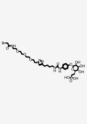 O=C(CBr)NCCOCCOCCOCCn1cc(CCCCNC(=O)Nc2ccc(O[C@H]3O[C@H](CCP(=O)(O)O)[C@@H](O)[C@H](O)[C@@H]3O)cc2)nn1